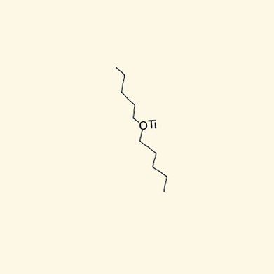 CCCCCOCCCCC.[Ti]